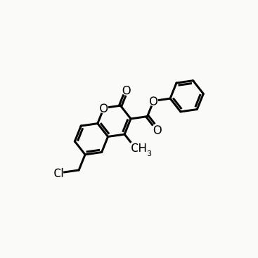 Cc1c(C(=O)Oc2ccccc2)c(=O)oc2ccc(CCl)cc12